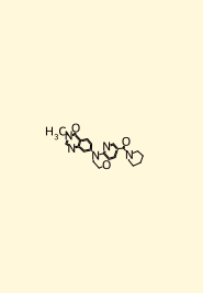 Cn1cnc2cc(N3CCOc4cc(C(=O)N5CCCCC5)cnc43)ccc2c1=O